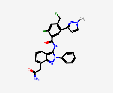 Cn1ccc(-c2cc(C(=O)Nc3c4cccc(CC(N)=O)c4nn3-c3ccccc3)c(F)cc2CF)n1